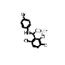 CCOC(=O)C(Nc1ccc(Br)cc1)c1c(Cl)ccc(Cl)c1Cl